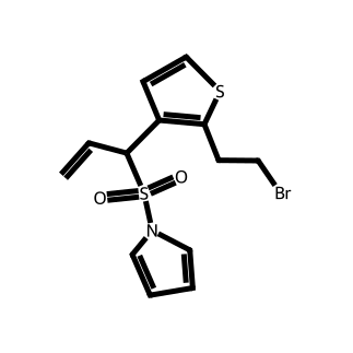 C=CC(c1ccsc1CCBr)S(=O)(=O)n1cccc1